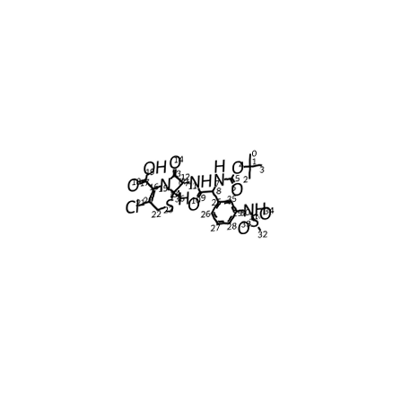 CC(C)(C)OC(=O)NC(C(=O)N[C@@H]1C(=O)N2C(C(=O)O)=C(Cl)CS[C@@H]12)c1cccc(NS(C)(=O)=O)c1